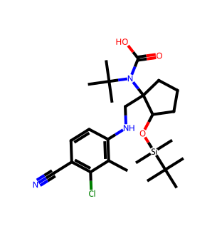 Cc1c(NCC2(N(C(=O)O)C(C)(C)C)CCCC2O[Si](C)(C)C(C)(C)C)ccc(C#N)c1Cl